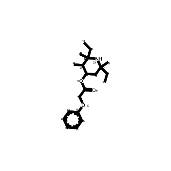 CCC1(C)CC(OC(=O)COc2ccccc2)C(C)C(C)(CC)N1